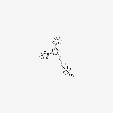 CC1(C)OB(c2cc(OCCCC(F)(F)C(F)(F)C(F)(F)C(F)(F)F)cc(B3OC(C)(C)C(C)(C)O3)c2)OC1(C)C